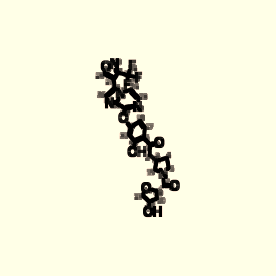 O=C(C[C@H]1CCN(C(=O)[C@@H]2C[C@@H](O)CO2)C1)c1ccc(Oc2nccn3c(-c4conc4C(F)(F)F)cnc23)cc1O